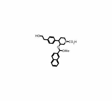 COC(OC1CN(C(=O)O)CCC1c1ccc(CCO)cc1)c1ccc2ccccc2c1